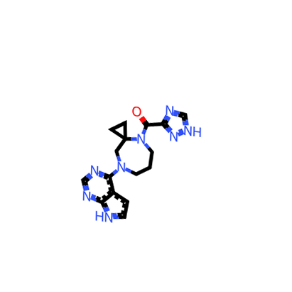 O=C(c1nc[nH]n1)N1CCCN(c2ncnc3[nH]ccc23)CC12CC2